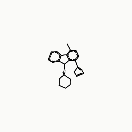 Cc1ccc(C2=CC=CC2)c2c1-c1ccccc1[CH]2[Zr]=[C]1CCCCC1